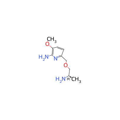 COc1ccc(COC[C@@H](C)N)nc1N